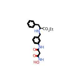 CCOC(=O)[C@H](Cc1ccccc1)NCc1cccc(NC(=O)CC(=O)NO)c1